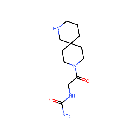 NC(=O)NCC(=O)N1CCC2(CCCNC2)CC1